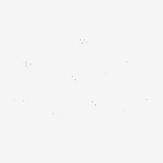 COc1c(CN(C(=O)CN(Cc2ccc(Cl)cc2)S(=O)(=O)c2c(F)c(F)c(F)c(F)c2F)c2ccc(C(=O)O)c(O)c2)cc(C(C)(C)C)cc1C1CC1